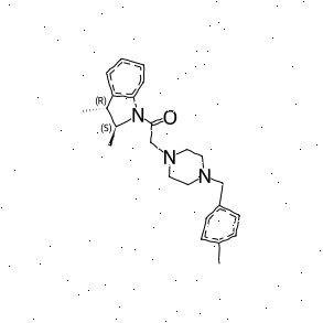 Cc1ccc(CN2CCN(CC(=O)N3c4ccccc4[C@@H](C)[C@@H]3C)CC2)cc1